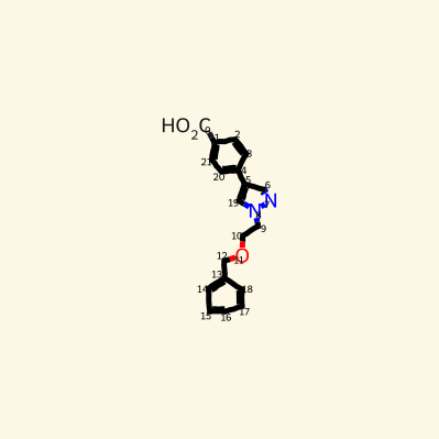 O=C(O)c1ccc(-c2cnn(CCOCc3ccccc3)c2)cc1